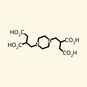 O=C(O)CC(CN1CCN(CC(CC(=O)O)C(=O)O)CC1)C(=O)O